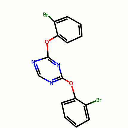 Brc1ccccc1Oc1ncnc(Oc2ccccc2Br)n1